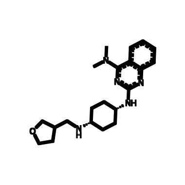 CN(C)c1nc(N[C@H]2CC[C@@H](NCC3CCOC3)CC2)nc2ccccc12